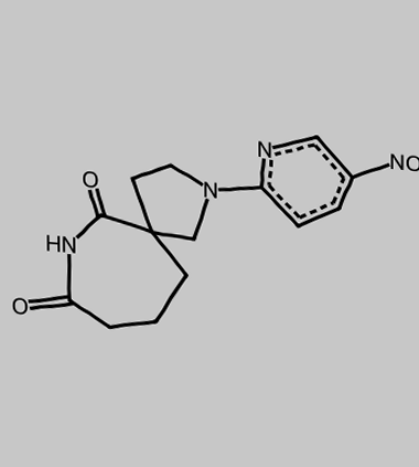 O=C1CCCC2(CCN(c3ccc([N+](=O)[O-])cn3)C2)C(=O)N1